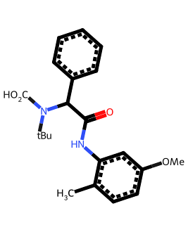 COc1ccc(C)c(NC(=O)C(c2ccccc2)N(C(=O)O)C(C)(C)C)c1